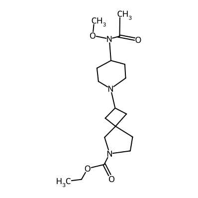 CCOC(=O)N1CCC2(CC(N3CCC(N(OC)C(C)=O)CC3)C2)C1